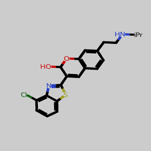 CC(C)NCCc1ccc2c(c1)OC(O)C(c1nc3c(Cl)cccc3s1)=C2